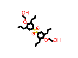 CCCc1cc(S(=O)(=O)c2cc(CCC)c(OCCO)c(CCC)c2)cc(CCC)c1OCCO